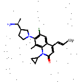 Cc1c(N2CCC([C@H](C)N)C2)c(F)cc2c(/C=C/C(=O)O)cc(=O)n(C3CC3)c12